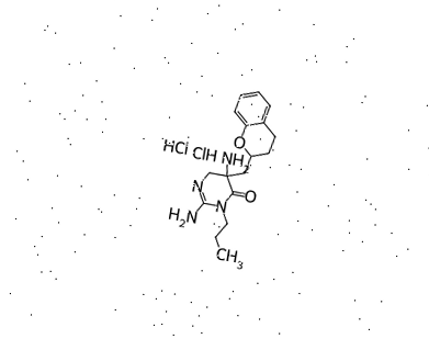 CCCN1C(=O)C(N)(CC2CCc3ccccc3O2)CN=C1N.Cl.Cl